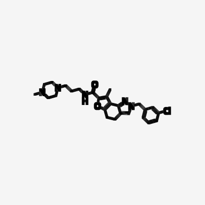 Cc1c(C(=O)NCCCN2CCN(C)CC2)oc2c1-c1nn(Cc3cccc(Cl)c3)cc1CC2